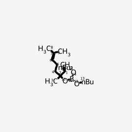 C=CC(C)(CCC=C(C)C)OB(OCCCC)OCCCC